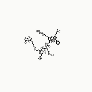 CN(CCCCCC(=O)ON1C(=O)CCC1=O)CCNC(=O)C(CCCC[N+](C)(C)C)NC(=O)C(CSOOO)NC(=O)CCC1=[N+]2C(=Cc3c(CCC[N+](C)(C)C)cc(-c4ccccc4)n3[B-]2(F)F)C(CCCSOOO)=C1